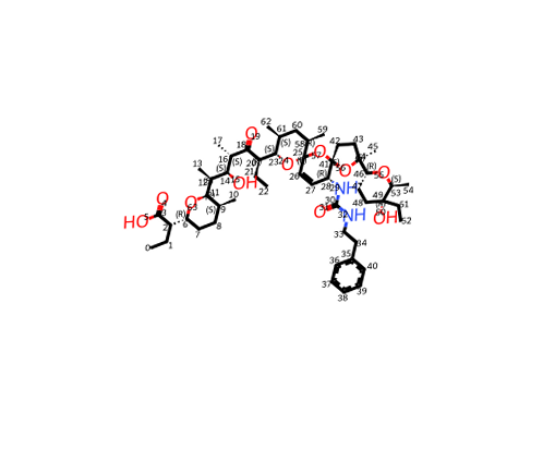 CCC(C(=O)O)[C@H]1CC[C@H](C)[C@H]([C@@H](C)[C@H](O)[C@H](C)C(=O)[C@H](CC)[C@H]2O[C@]3(C=C[C@@H](NC(=O)NCCc4ccccc4)[C@]4(CC[C@@](C)([C@H]5CC[C@](O)(CC)[C@H](C)O5)O4)O3)[C@H](C)C[C@@H]2C)O1